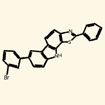 Brc1cccc(-c2ccc3[nH]c4c(ccc5nc(-c6ccccc6)sc54)c3c2)c1